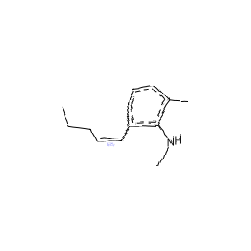 CCC/C=C\c1cccc(C)c1NC